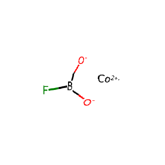 [Co+2].[O-]B([O-])F